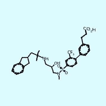 CN(C[C@H](O)CNC(C)(C)CC1Cc2ccccc2C1)S(=O)(=O)c1ccc(-c2cccc(CCC(=O)O)c2)c(C(F)(F)F)c1